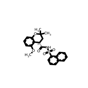 COc1cccc2c1[C@@H](C(=O)NS(=O)(=O)c1cccc3ccccc13)CC(C)(C)O2